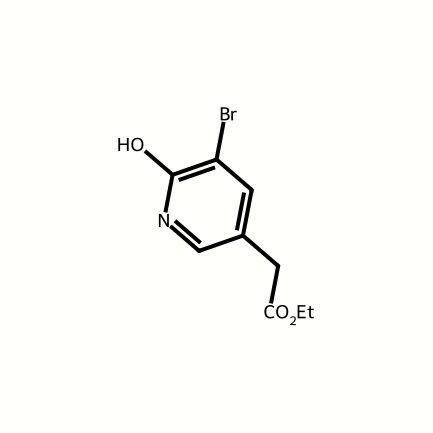 CCOC(=O)Cc1cnc(O)c(Br)c1